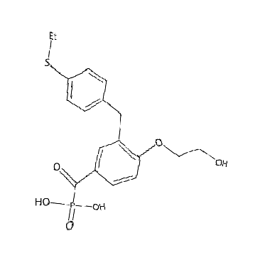 CCSc1ccc(Cc2cc(C(=O)P(=O)(O)O)ccc2OCCO)cc1